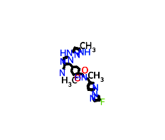 COC1(C(=O)N[C@@H](C)c2ccc(-n3cc(F)cn3)nc2)CCC(c2nc(Nc3cc(C)[nH]n3)cnc2C#N)CC1